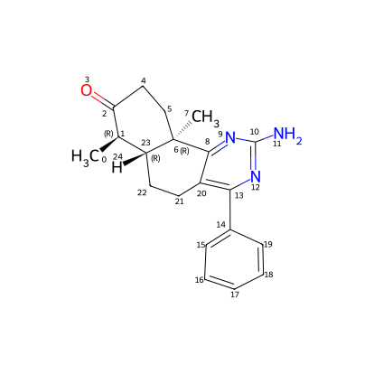 C[C@H]1C(=O)CC[C@@]2(C)c3nc(N)nc(-c4ccccc4)c3CC[C@H]12